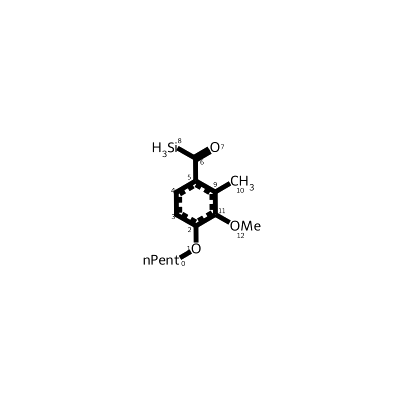 CCCCCOc1ccc(C(=O)[SiH3])c(C)c1OC